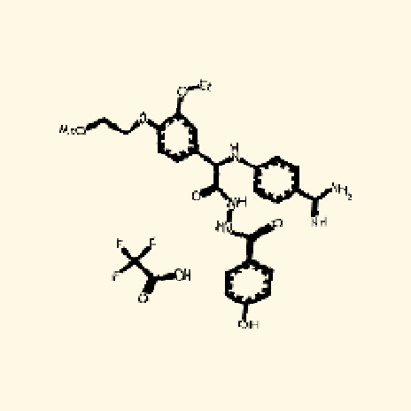 CCOc1cc(C(Nc2ccc(C(=N)N)cc2)C(=O)NNC(=O)c2ccc(O)cc2)ccc1OCCOC.O=C(O)C(F)(F)F